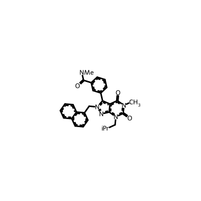 CNC(=O)c1cccc(-c2c3c(=O)n(C)c(=O)n(CC(C)C)c3nn2Cc2cccc3ccccc23)c1